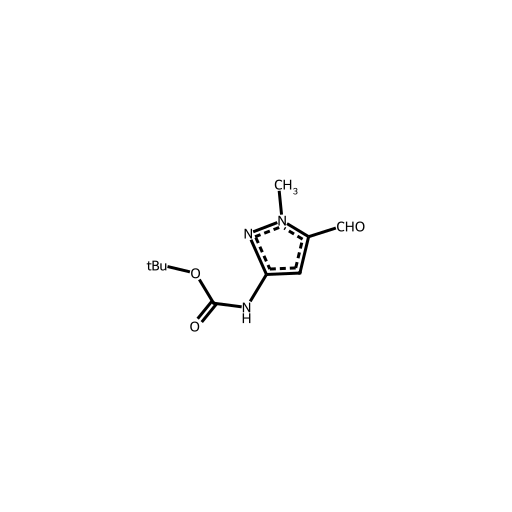 Cn1nc(NC(=O)OC(C)(C)C)cc1C=O